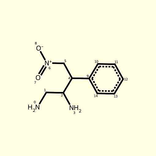 NCC(N)C(C[N+](=O)[O-])c1ccccc1